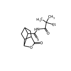 CCC(C)(C)C(=O)NC(=S)C1C2CC3C(=O)OC1C3C2